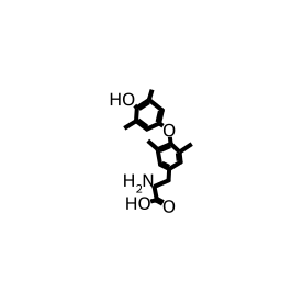 Cc1cc(Oc2c(C)cc(CC(N)C(=O)O)cc2C)cc(C)c1O